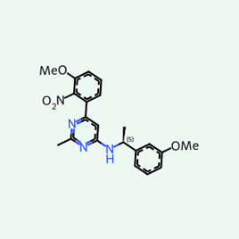 COc1cccc([C@H](C)Nc2cc(-c3cccc(OC)c3[N+](=O)[O-])nc(C)n2)c1